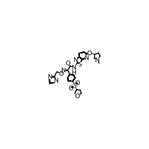 CN1CC[C@H](Oc2ccc3nc(NC(=O)/C(=N/OCc4ncccn4)c4ccc(S(=O)(=O)[C@H]5CCOC5)cc4)sc3n2)C1